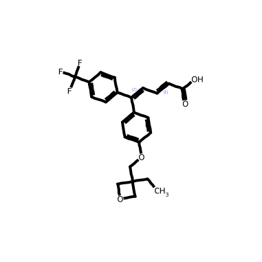 CCC1(COc2ccc(/C(=C\C=C\C(=O)O)c3ccc(C(F)(F)F)cc3)cc2)COC1